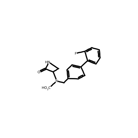 O=C1NCC1N(Cc1ccc(-c2ccccc2F)cc1)C(=O)O